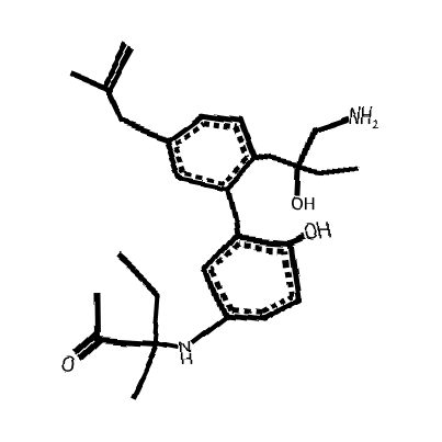 C=C(C)Cc1ccc(C(C)(O)CN)c(-c2cc(NC(C)(CC)C(C)=O)ccc2O)c1